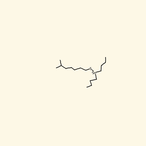 CCC[CH2][Sn]([CH2]CCC)[S]CCCCCC(C)C